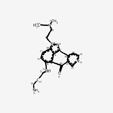 CN(C)CCn1nc2c3c(c(NCCCN)ccc31)C(=O)c1cnccc1-2